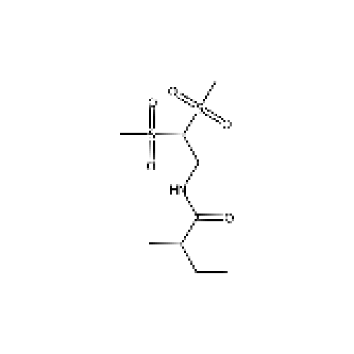 CCC(C)C(=O)NCC(S(C)(=O)=O)S(C)(=O)=O